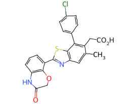 Cc1cc2nc(-c3cccc4c3OCC(=O)N4)sc2c(-c2ccc(Cl)cc2)c1CC(=O)O